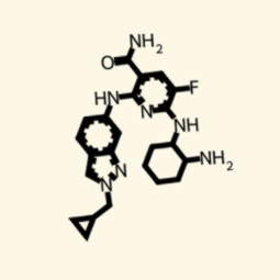 NC(=O)c1cc(F)c(NC2CCCCC2N)nc1Nc1ccc2cn(CC3CC3)nc2c1